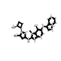 Cn1c(Nc2cc(C(C)(C)C)n([C@@H]3CC[C@@H]3O)n2)nc2ncc(Oc3cnn4ccncc34)c(Cl)c21